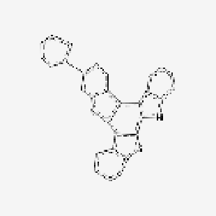 c1ccc(-c2ccc3c(c2)sc2c4c5ccccc5sc4c4[nH]c5ccccc5c4c32)cc1